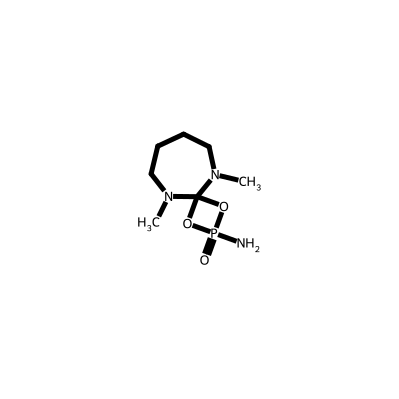 CN1CCCCN(C)C12OP(N)(=O)O2